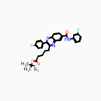 CC(C)(C)OC(=O)CCCCc1nc2cc(C(=O)Nc3cccc(F)c3)ccc2nc1-c1ccc(F)cc1